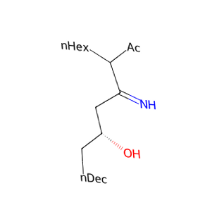 CCCCCCCCCCC[C@@H](O)CC(=N)C(CCCCCC)C(C)=O